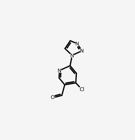 O=Cc1cnc(-n2ccnn2)cc1Cl